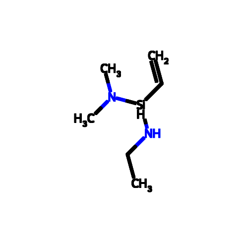 C=C[SiH](NCC)N(C)C